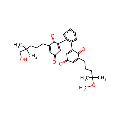 COC(C)(C)CCCC1=CC(=O)C=C(c2ccccc2C2=CC(=O)C=C(CCCC(C)(C)CO)C2=O)C1=O